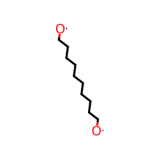 [O]CCCCCCCCCC[O]